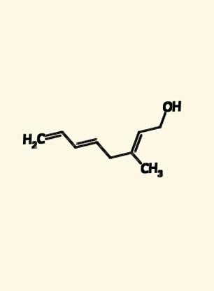 C=CC=CCC(C)=CCO